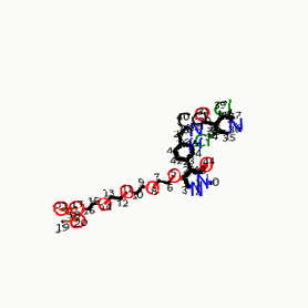 Cn1ncc(OCCOCCOCCOCCOS(C)(=O)=O)c(-c2ccc(C[C@H](NC(=O)c3c(Cl)cncc3Cl)C(=O)O)cc2)c1=O